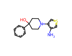 Nc1cscc1N1CCC(O)(c2ccccc2)CC1